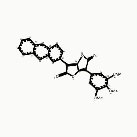 COc1cc(C2=C3OC(=O)C(c4ccc5cc6ccccc6cc5c4)=C3OC2=O)cc(OC)c1OC